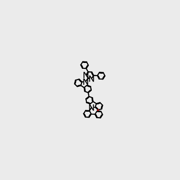 c1ccc(-c2cc(-c3ccccc3)nc(-n3c4ccccc4c4cc(-c5ccc6c(c5)c5ccccc5n6-c5ccccc5-c5ccccc5)ccc43)n2)cc1